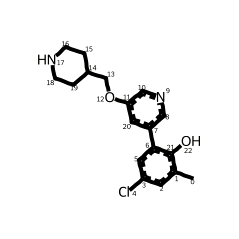 Cc1cc(Cl)cc(-c2cncc(OCC3CCNCC3)c2)c1O